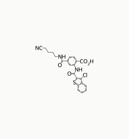 N#CCCCCNC(=O)c1ccc(C(=O)O)c(NC(=O)c2sc3ccccc3c2Cl)c1